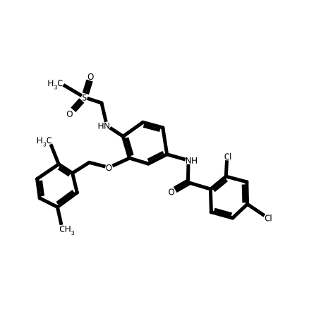 Cc1ccc(C)c(COc2cc(NC(=O)c3ccc(Cl)cc3Cl)ccc2NCS(C)(=O)=O)c1